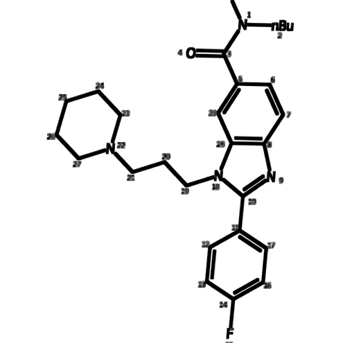 CCCCN(CCCC)C(=O)c1ccc2nc(-c3ccc(F)cc3)n(CCCN3CCCCC3)c2c1